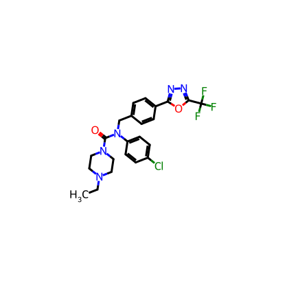 CCN1CCN(C(=O)N(Cc2ccc(-c3nnc(C(F)(F)F)o3)cc2)c2ccc(Cl)cc2)CC1